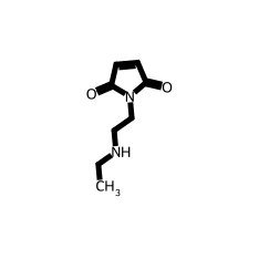 CCNCCN1C(=O)C=CC1=O